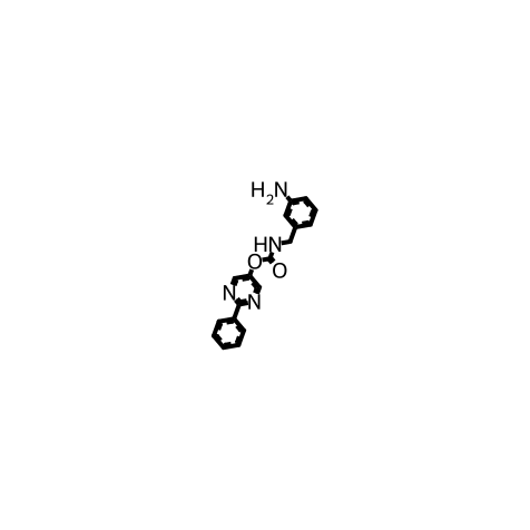 Nc1cccc(CNC(=O)Oc2cnc(-c3ccccc3)nc2)c1